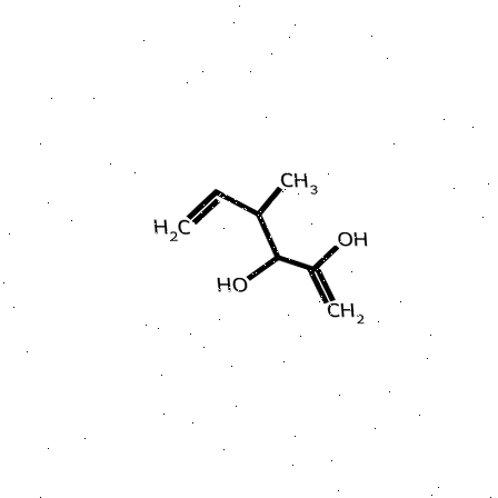 C=CC(C)C(O)C(=C)O